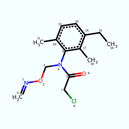 C=NOCN(C(=O)CCl)c1c(C)ccc(CC)c1C